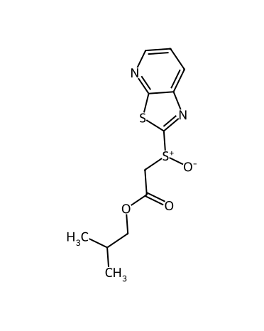 CC(C)COC(=O)C[S+]([O-])c1nc2cccnc2s1